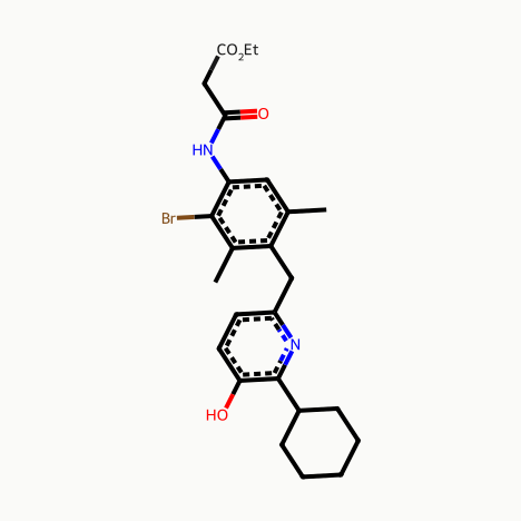 CCOC(=O)CC(=O)Nc1cc(C)c(Cc2ccc(O)c(C3CCCCC3)n2)c(C)c1Br